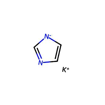 [K+].c1c[n-]cn1